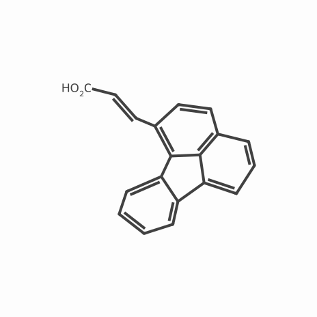 O=C(O)C=Cc1ccc2cccc3c2c1-c1ccccc1-3